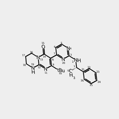 C[C@H](Nc1nccc(-c2c(C(C)(C)C)nc3n(c2=O)CCCN3)n1)c1ccccc1